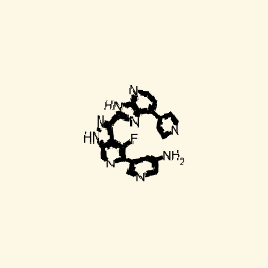 Nc1cncc(-c2ncc3[nH]nc(-c4nc5c(-c6ccncc6)ccnc5[nH]4)c3c2F)c1